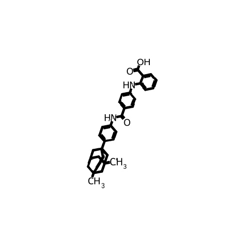 CC12CC3CC(C)(C1)CC(c1ccc(NC(=O)c4ccc(Nc5ccccc5C(=O)O)cc4)cc1)(C3)C2